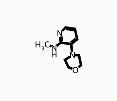 CNc1ncccc1N1CCOCC1